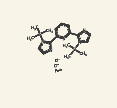 C[Si](C)(C)n1ccnc1-c1cccc(-c2nccn2[Si](C)(C)C)n1.[Cl-].[Cl-].[Fe+2]